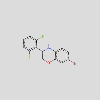 Fc1cccc(F)c1C1COc2cc(Br)ccc2N1